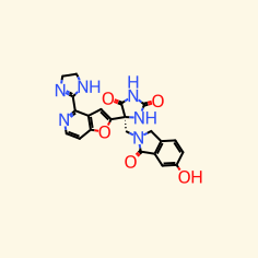 O=C1NC(=O)[C@](CN2Cc3ccc(O)cc3C2=O)(c2cc3c(C4=NCCN4)nccc3o2)N1